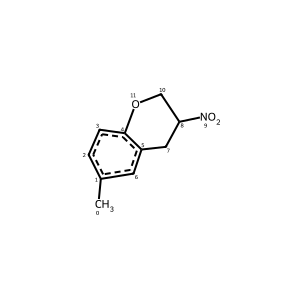 Cc1ccc2c(c1)CC([N+](=O)[O-])CO2